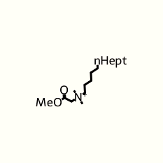 CCCCCCCCCCCC[N+](C)(C)CC(=O)OC